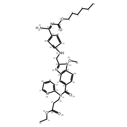 CCCCCCOC(=O)/N=C(/N)c1ccc(NCc2nc3cc(C(=O)N(CCC(=O)OCC)c4ccccn4)ccc3n2OC)cc1